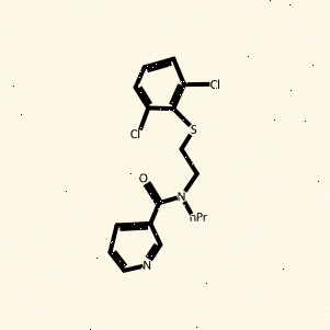 CCCN(CCSc1c(Cl)cccc1Cl)C(=O)c1cccnc1